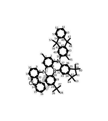 Cc1cc2c3c(c1)N(c1cccc4oc5ccccc5c14)c1ccc(C(C)(C)C)cc1B3c1cc3c(cc1N2c1cc2c(cc1C)C(C)(C)c1ccccc1C2(C)C)C(C)(C)CC3(C)C